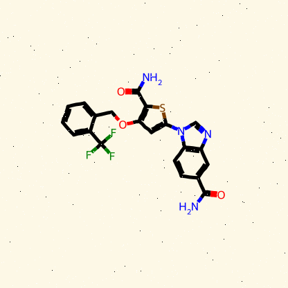 NC(=O)c1ccc2c(c1)ncn2-c1cc(OCc2ccccc2C(F)(F)F)c(C(N)=O)s1